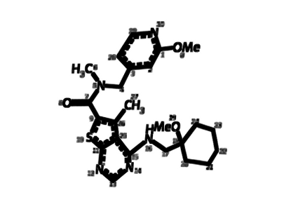 COc1cc(CN(C)C(=O)c2sc3ncnc(NCC4(OC)CCCCC4)c3c2C)ccn1